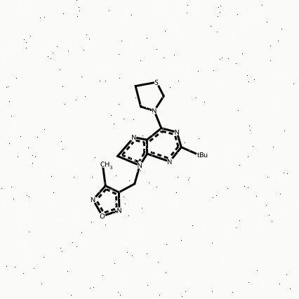 Cc1nonc1Cn1cnc2c(N3CCSC3)nc(C(C)(C)C)nc21